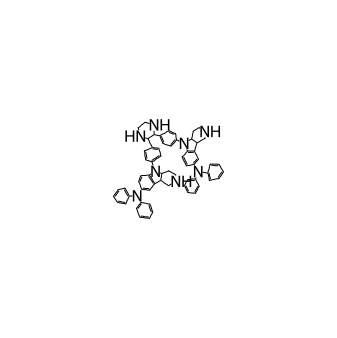 c1ccc(N(c2ccccc2)c2ccc3c(c2)C2CNCCC2N3c2ccc(C3NCCNC3c3ccc(N4c5ccc(N(c6ccccc6)c6ccccc6)cc5C5CNCCC54)cc3)cc2)cc1